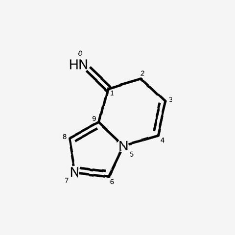 N=C1CC=Cn2cncc21